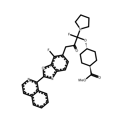 COC(=O)[C@H]1CC[C@H](OC(F)(C(=O)Cc2ccc3nc(-c4nccc5ccccc45)oc3c2F)N2CCCC2)CC1